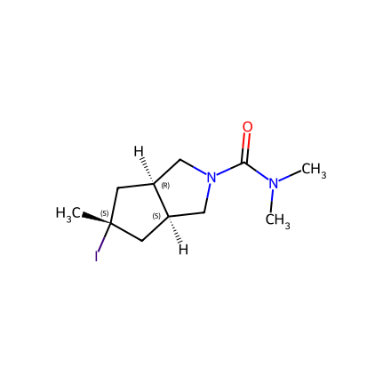 CN(C)C(=O)N1C[C@@H]2C[C@@](C)(I)C[C@@H]2C1